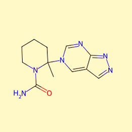 CC1(n2cnc3nncc-3c2)CCCCN1C(N)=O